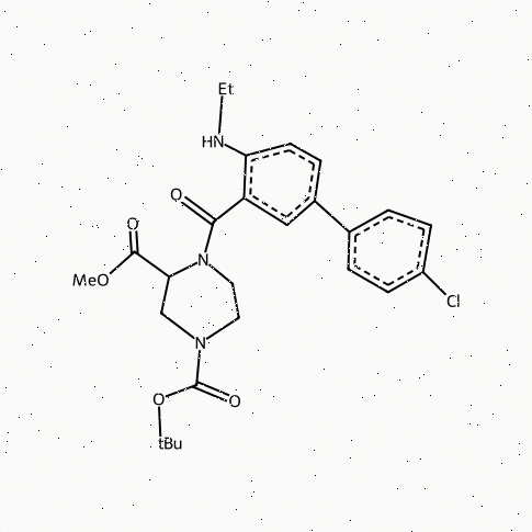 CCNc1ccc(-c2ccc(Cl)cc2)cc1C(=O)N1CCN(C(=O)OC(C)(C)C)CC1C(=O)OC